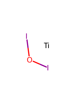 IOI.[Ti]